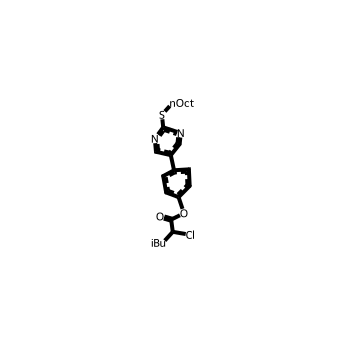 CCCCCCCCSc1ncc(-c2ccc(OC(=O)C(Cl)C(C)CC)cc2)cn1